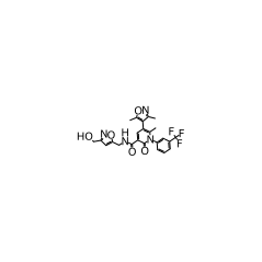 Cc1noc(C)c1-c1cc(C(=O)NCc2cc(CO)no2)c(=O)n(-c2cccc(C(F)(F)F)c2)c1C